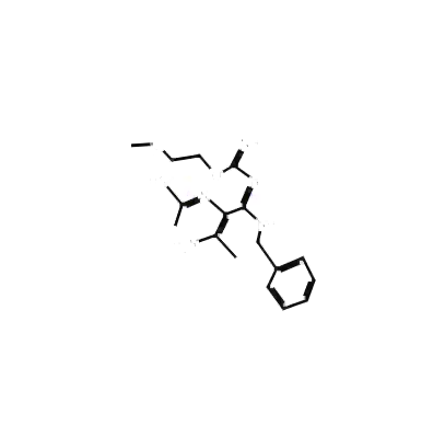 COCCOC(=N)/N=C(/NCc1ccccc1)C(/N=C(\C)S)=C(C)N